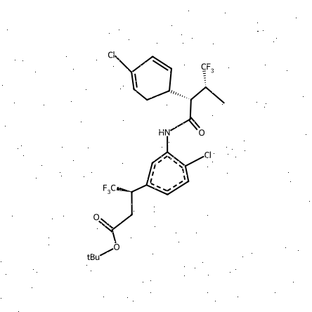 C[C@H]([C@H](C(=O)Nc1cc([C@@H](CC(=O)OC(C)(C)C)C(F)(F)F)ccc1Cl)C1C=CC(Cl)=CC1)C(F)(F)F